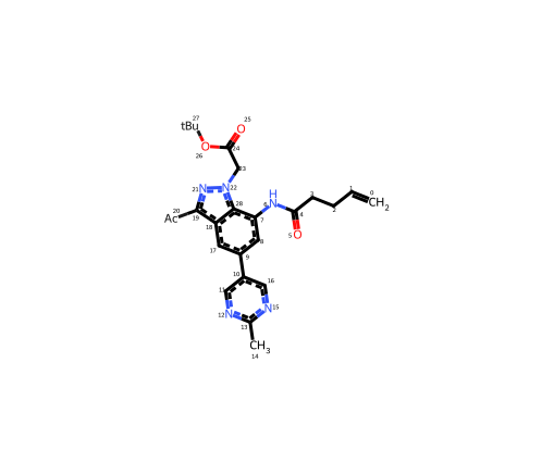 C=CCCC(=O)Nc1cc(-c2cnc(C)nc2)cc2c(C(C)=O)nn(CC(=O)OC(C)(C)C)c12